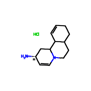 Cl.N[C@H]1C=CN2CCC3CCC=CC3C2C1